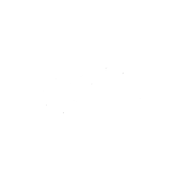 F.O=C(c1ccc(O)cc1)c1ccc(O)cc1